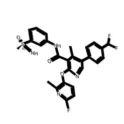 Cc1nc(F)ccc1Oc1ncc(-c2ccc(C(F)F)cc2)c(C)c1C(=O)Nc1cccc([S@](C)(=N)=O)c1